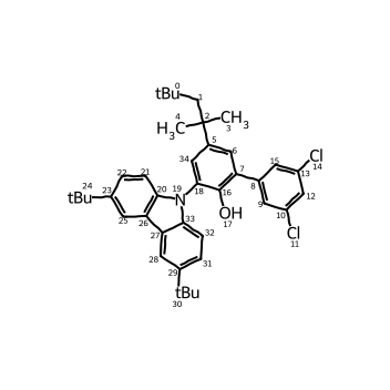 CC(C)(C)CC(C)(C)c1cc(-c2cc(Cl)cc(Cl)c2)c(O)c(-n2c3ccc(C(C)(C)C)cc3c3cc(C(C)(C)C)ccc32)c1